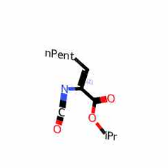 CCCCC/C=C(\N=C=O)C(=O)OC(C)C